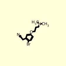 CN(C)CCCOc1ccc(Br)c(CC#N)c1